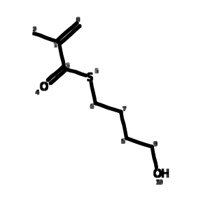 C=C(C)C(=O)SCCCCO